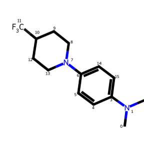 CN(C)c1ccc(N2CCC(C(F)(F)F)CC2)cc1